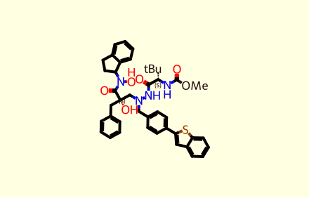 COC(=O)N[C@H](C(=O)NN(Cc1ccc(-c2cc3ccccc3s2)cc1)C[C@@](O)(Cc1ccccc1)C(=O)N(O)C1CCc2ccccc21)C(C)(C)C